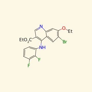 CCOC(=O)c1cnc2cc(OCC)c(Br)cc2c1Nc1cccc(F)c1F